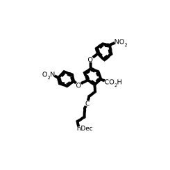 CCCCCCCCCCCCCCCCc1c(Oc2ccc([N+](=O)[O-])cc2)cc(Oc2ccc([N+](=O)[O-])cc2)cc1C(=O)O